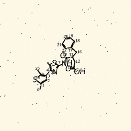 Cc1cc(-c2csc(NC(=O)C(CC(=O)O)Cc3ccccc3)n2)c(C)s1